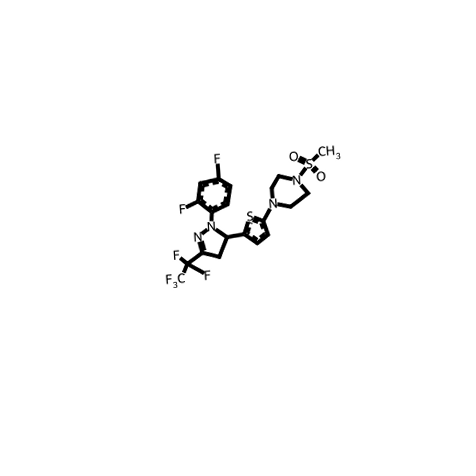 CS(=O)(=O)N1CCN(c2ccc(C3CC(C(F)(F)C(F)(F)F)=NN3c3ccc(F)cc3F)s2)CC1